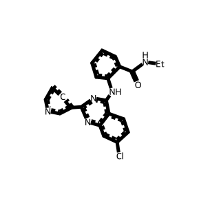 CCNC(=O)c1ccccc1Nc1nc(-c2cccnc2)nc2cc(Cl)ccc12